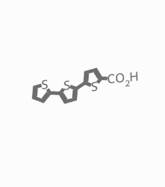 O=C(O)c1ccc(-c2ccc(-c3cccs3)s2)s1